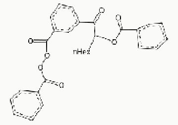 CCCCCCC(OC(=O)c1ccccc1)C(=O)c1cccc(C(=O)OOC(=O)c2ccccc2)c1